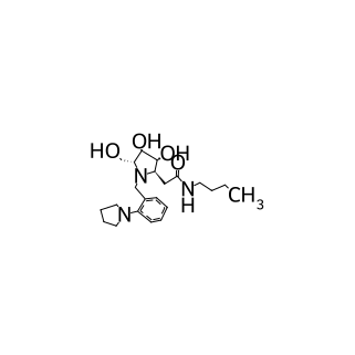 CCCCNC(=O)C[C@@H]1[C@H](O)[C@H](O)[C@@H](CO)N1Cc1ccccc1N1CCCC1